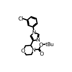 CC(C)(C)OC(=O)N1CCOCC1c1cn(-c2cccc(Cl)c2)cn1